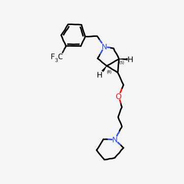 FC(F)(F)c1cccc(CN2C[C@@H]3C(COCCCN4CCCCC4)[C@@H]3C2)c1